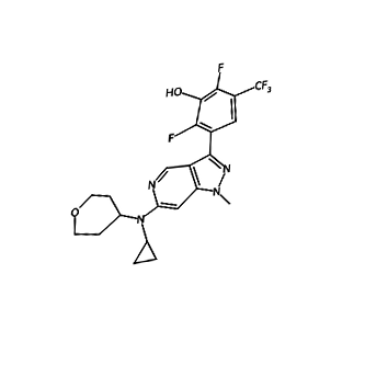 Cn1nc(-c2cc(C(F)(F)F)c(F)c(O)c2F)c2cnc(N(C3CCOCC3)C3CC3)cc21